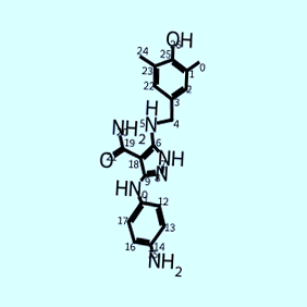 Cc1cc(CNc2[nH]nc(Nc3ccc(N)cc3)c2C(N)=O)cc(C)c1O